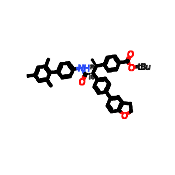 Cc1cc(C)c(-c2ccc(NC(=O)[C@@H](c3ccc(-c4ccc5c(c4)CCO5)cc3)[C@@H](C)c3ccc(C(=O)OC(C)(C)C)cc3)cc2)c(C)c1